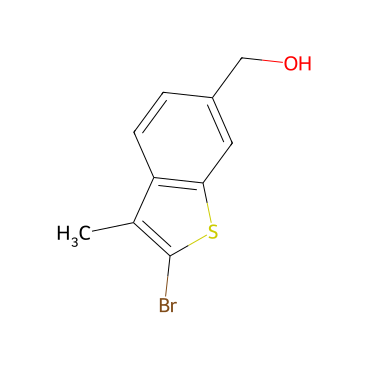 Cc1c(Br)sc2cc(CO)ccc12